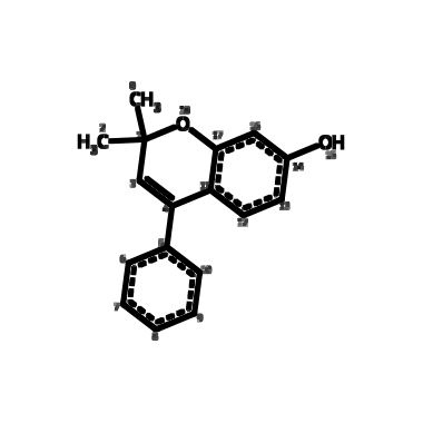 CC1(C)C=C(c2ccccc2)c2ccc(O)cc2O1